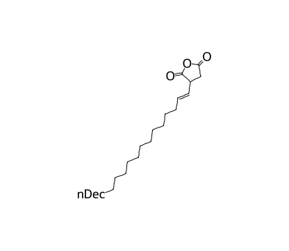 CCCCCCCCCCCCCCCCCCCCCC=CC1CC(=O)OC1=O